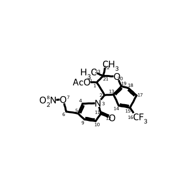 CC(=O)OC1C(n2cc(CO[N+](=O)[O-])ccc2=O)c2cc(C(F)(F)F)ccc2OC1(C)C